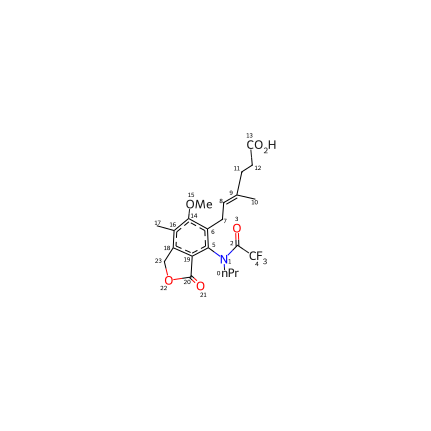 CCCN(C(=O)C(F)(F)F)c1c(C/C=C(\C)CCC(=O)O)c(OC)c(C)c2c1C(=O)OC2